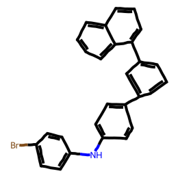 Brc1ccc(Nc2ccc(-c3cccc(-c4cccc5ccccc45)c3)cc2)cc1